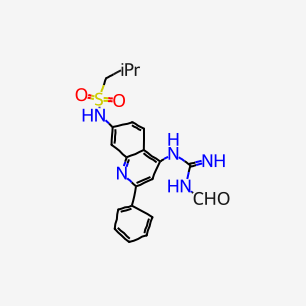 CC(C)CS(=O)(=O)Nc1ccc2c(NC(=N)NC=O)cc(-c3ccccc3)nc2c1